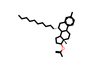 C=C(C)O[C@H]1CCC2C3C(CC[C@@]21C)c1ccc(C)cc1C[C@H]3CCCCCCCCCC